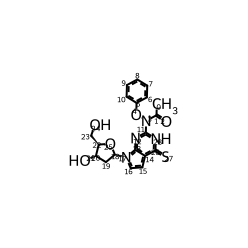 CC(=O)N(Oc1ccccc1)c1nc2c(ccn2[C@H]2C[C@@H](O)[C@@H](CO)O2)c(=S)[nH]1